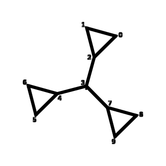 C1CC1[C](C1CC1)C1CC1